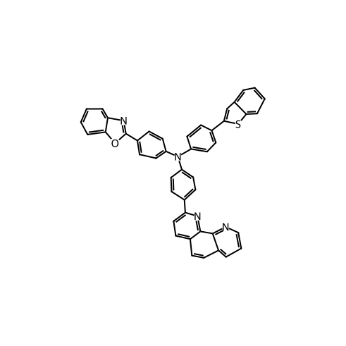 c1ccc2sc(-c3ccc(N(c4ccc(-c5ccc6ccc7cccnc7c6n5)cc4)c4ccc(-c5nc6ccccc6o5)cc4)cc3)cc2c1